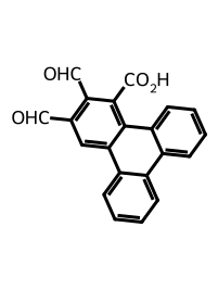 O=Cc1cc2c3ccccc3c3ccccc3c2c(C(=O)O)c1C=O